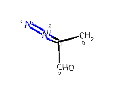 [CH2]C(C=O)=[N+]=[N-]